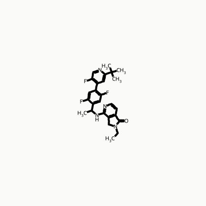 CCN1Cc2c(ccnc2NC(C)c2cc(F)c(-c3cc(C(C)(C)C)ncc3F)cc2F)C1=O